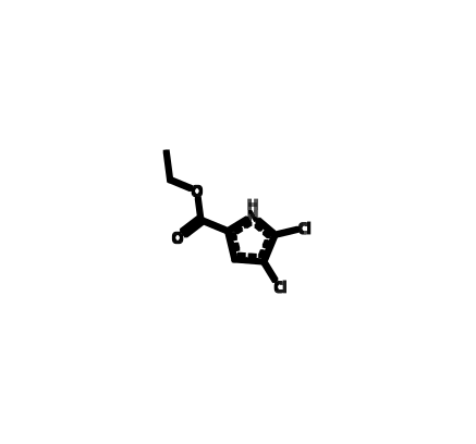 CCOC(=O)c1cc(Cl)c(Cl)[nH]1